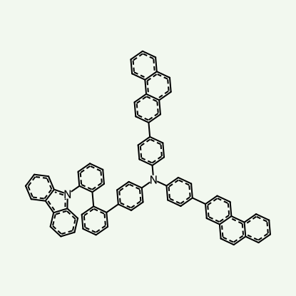 c1ccc(-c2ccccc2-n2c3ccccc3c3ccccc32)c(-c2ccc(N(c3ccc(-c4ccc5c(ccc6ccccc65)c4)cc3)c3ccc(-c4ccc5c(ccc6ccccc65)c4)cc3)cc2)c1